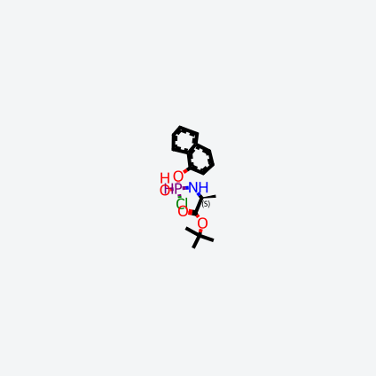 C[C@H](N[PH](O)(Cl)Oc1cccc2ccccc12)C(=O)OC(C)(C)C